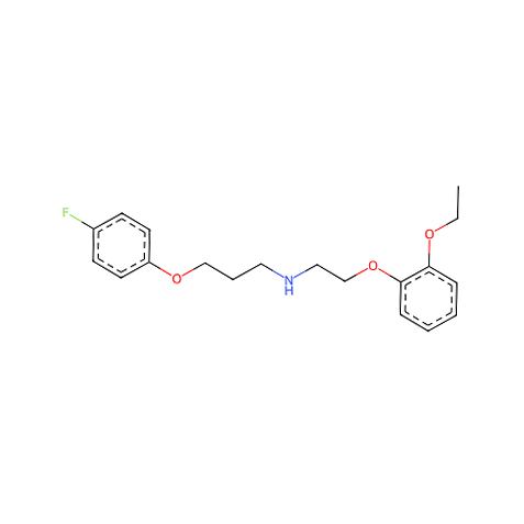 CCOc1ccccc1OCCNCCCOc1ccc(F)cc1